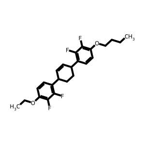 CCCCOc1ccc(C2C=CC(c3ccc(OCC)c(F)c3F)CC2)c(F)c1F